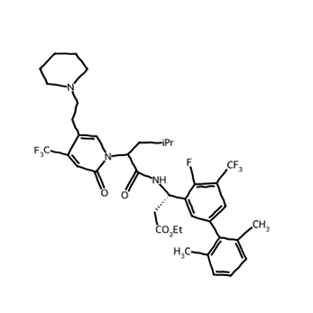 CCOC(=O)C[C@H](NC(=O)C(CC(C)C)n1cc(CCN2CCCCC2)c(C(F)(F)F)cc1=O)c1cc(-c2c(C)cccc2C)cc(C(F)(F)F)c1F